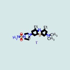 CCc1cc(N(C)C)cc2[s+]c3cc(N4CCCN(S(N)(=O)=O)CC4)cc(CC)c3nc12.[I-]